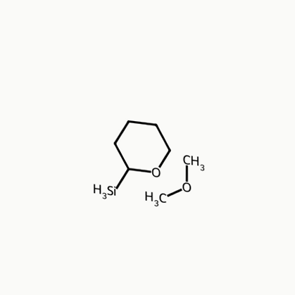 COC.[SiH3]C1CCCCO1